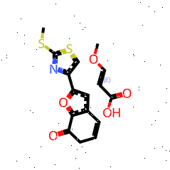 CO/C=C/C(=O)O.CSc1nc(-c2cc3c(o2)C(=O)CC=C3)cs1